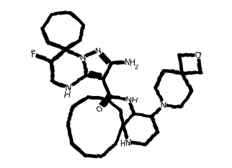 Nc1nn2c(c1C(=O)NC1C(N3CCC4(CC3)COC4)CCNC13CCCCCCCCC3)NCC(F)C21CCCCCC1